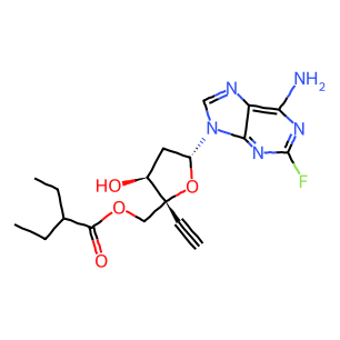 C#C[C@]1(COC(=O)C(CC)CC)O[C@@H](n2cnc3c(N)nc(F)nc32)C[C@@H]1O